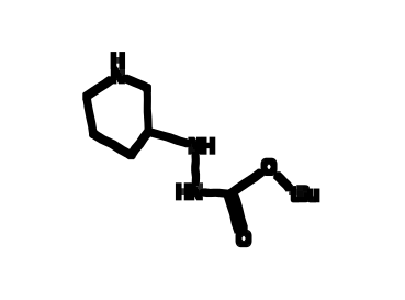 CC(C)(C)OC(=O)NNC1CCCNC1